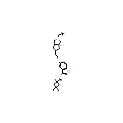 CC1(C(=O)Nc2c[nH]c3ccc(OCCC4C[C@@H]5CN(CC(F)(F)F)C[C@@H]5C4)cc23)CC2(COC2)C1